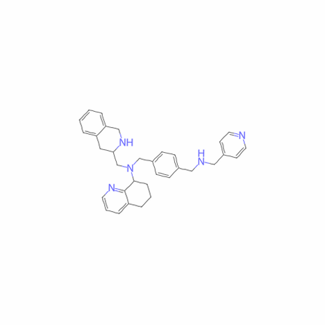 c1ccc2c(c1)CNC(CN(Cc1ccc(CNCc3ccncc3)cc1)C1CCCc3cccnc31)C2